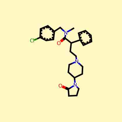 CN(Cc1ccc(Cl)cc1)C(=O)C(CCN1CCC(N2CCCC2=O)CC1)c1ccccc1